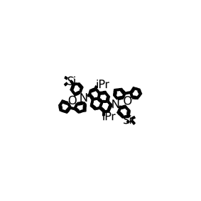 CC(C)c1cc(N(c2ccc([Si](C)(C)C)cc2)c2cccc3c2oc2ccccc23)c2ccc3c(C(C)C)cc(N(c4ccc([Si](C)(C)C)cc4)c4cccc5c4oc4ccccc45)c4ccc1c2c34